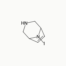 IN1C2C=CC1CNC2